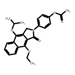 CCOc1c2c(c(OC(C)C)c3ccccc13)CN(c1ccc(OC(C)=O)cc1)C2=O